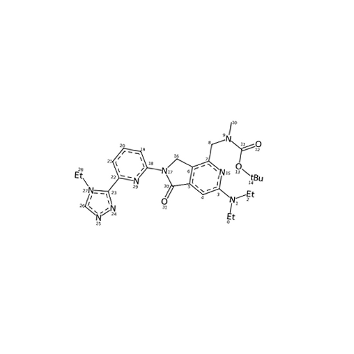 CCN(CC)c1cc2c(c(CN(C)C(=O)OC(C)(C)C)n1)CN(c1cccc(-c3nncn3CC)n1)C2=O